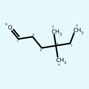 CCC(C)(C)CCC=O